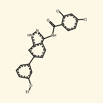 CCOc1cccc(-c2ccc3c(NC(=O)c4ccc(Cl)cc4Cl)n[nH]c3c2)c1